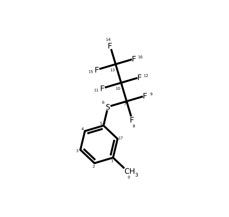 Cc1[c]ccc(SC(F)(F)C(F)(F)C(F)(F)F)c1